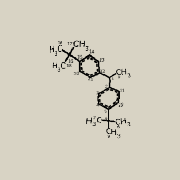 CC(c1ccc(C(C)(C)C)cc1)c1ccc(C(C)(C)C)cc1